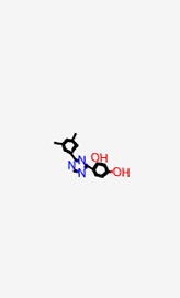 Cc1cc(C)cc(-c2ncnc(-c3ccc(O)cc3O)n2)c1